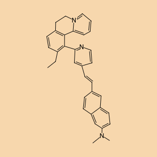 CCc1ccc2c(c1-c1cc(/C=C/c3ccc4cc(N(C)C)ccc4c3)ccn1)-c1cccc[n+]1CC2